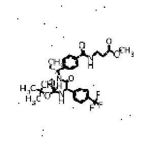 CC[C@@H](NC(=O)C(NC(=O)OC(C)(C)C)c1ccc(C(F)(F)F)cc1)c1ccc(C(=O)NCCC(=O)OC)cc1